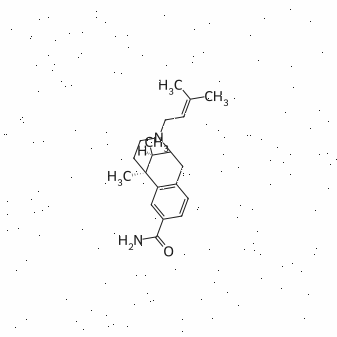 CC(C)=CCN1CC[C@]2(C)c3cc(C(N)=O)ccc3CC1[C@@H]2C